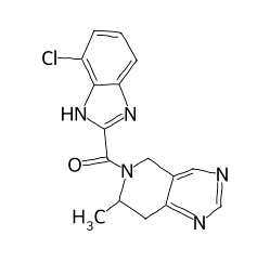 CC1Cc2ncncc2CN1C(=O)c1nc2cccc(Cl)c2[nH]1